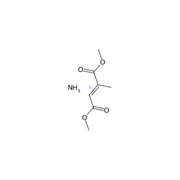 COC(=O)/C=C(\C)C(=O)OC.N